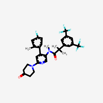 Cc1cc(F)ccc1-c1cc(N2CCC(=O)CC2)ncc1N(C)C(=O)C(C)(C)c1cc(C(F)(F)F)cc(C(F)(F)F)c1